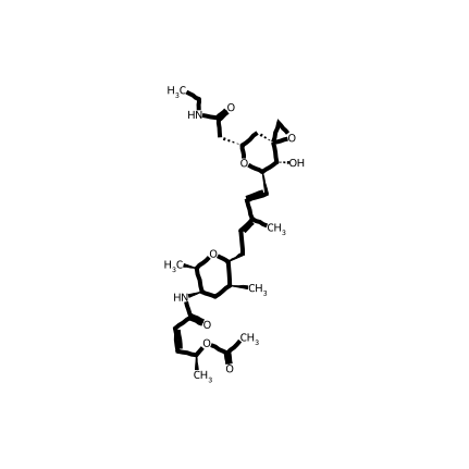 CCNC(=O)C[C@@H]1C[C@@]2(CO2)[C@H](O)[C@@H](/C=C/C(C)=C/C[C@@H]2O[C@H](C)[C@H](NC(=O)/C=C\[C@H](C)OC(C)=O)C[C@@H]2C)O1